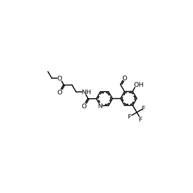 CCOC(=O)CCNC(=O)c1ccc(-c2cc(C(F)(F)F)cc(O)c2C=O)cn1